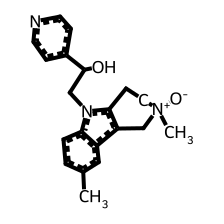 Cc1ccc2c(c1)c1c(n2CC(O)c2ccncc2)CC[N+](C)([O-])C1